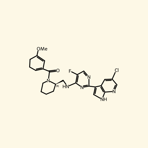 COC1=CC(C(=O)N2CCCC[C@@H]2CNc2nc(-c3c[nH]c4ncc(Cl)cc34)ncc2F)=CCC1